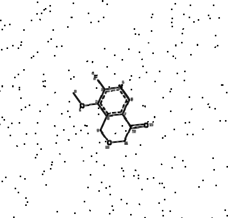 COc1c(F)ncc2c1COCC2=O